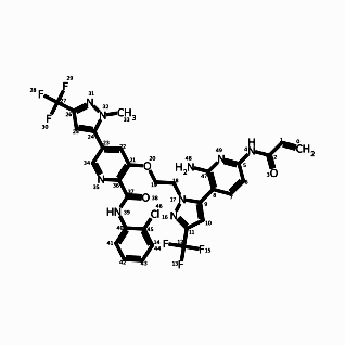 C=CC(=O)Nc1ccc(-c2cc(C(F)(F)F)nn2CCOc2cc(-c3cc(C(F)(F)F)nn3C)cnc2C(=O)Nc2ccccc2Cl)c(N)n1